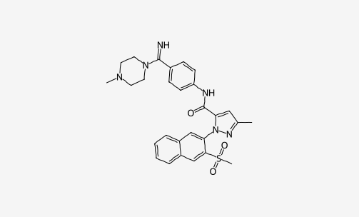 Cc1cc(C(=O)Nc2ccc(C(=N)N3CCN(C)CC3)cc2)n(-c2cc3ccccc3cc2S(C)(=O)=O)n1